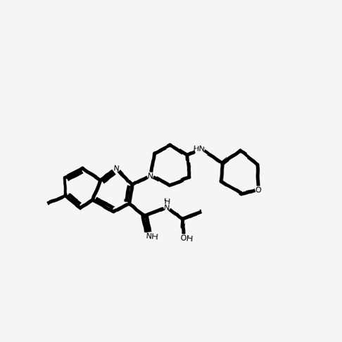 Cc1ccc2nc(N3CCC(NC4CCOCC4)CC3)c(C(=N)NC(C)O)cc2c1